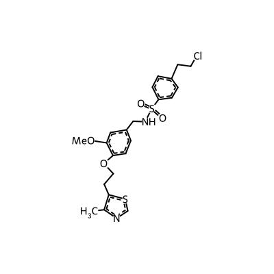 COc1cc(CNS(=O)(=O)c2ccc(CCCl)cc2)ccc1OCCc1scnc1C